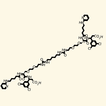 O=C(O)CC(NC(=O)[C@H](COCCOCCNC(=O)NCCCCCCNC(=O)NCCOCCOC[C@H](NC(=O)CCCCNc1ccccn1)C(=O)NC(CC(=O)O)c1cc(Cl)cc(Cl)c1)NC(=O)CCCCNc1ccccn1)c1cc(Cl)cc(Cl)c1